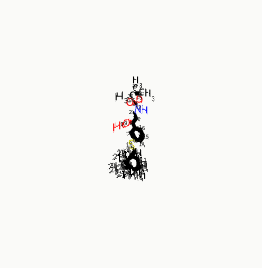 [2H]C1([2H])C([2H])([2H])C([2H])([2H])C([2H])(CSc2cccc(C(O)CCNC(=O)OC(C)(C)C)c2)C([2H])([2H])C1([2H])[2H]